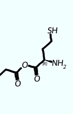 N[C@H](CCS)C(=O)OC(=O)CBr